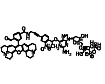 CC(Oc1nc(N)nc2c1ncn2[C@H]1C[C@@H](O)[C@@H](COP(=O)(O)OP(=O)(O)OP(=O)(O)O)O1)c1ccc(C#CCNC(=O)c2ccc(C=O)c(C3=c4cc5c6c(c4Oc4c3cc3c7c4CCCN7CCC3)CCC[N+]=6CCC5)c2)cc1[N+](=O)[O-]